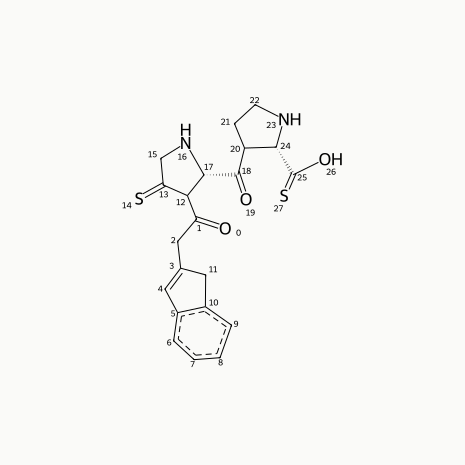 O=C(CC1=Cc2ccccc2C1)C1C(=S)CN[C@@H]1C(=O)C1CCN[C@@H]1C(O)=S